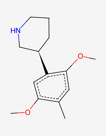 COc1cc([C@@H]2CCCNC2)c(OC)cc1C